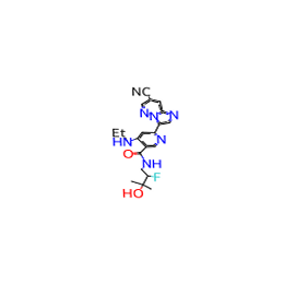 CCNc1cc(-c2cnc3cc(C#N)cnn23)ncc1C(=O)NCC(F)C(C)(C)O